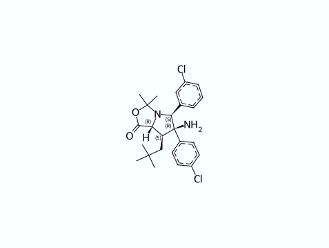 CC(C)(C)C[C@H]1[C@@H]2C(=O)OC(C)(C)N2[C@@H](c2cccc(Cl)c2)[C@]1(N)c1ccc(Cl)cc1